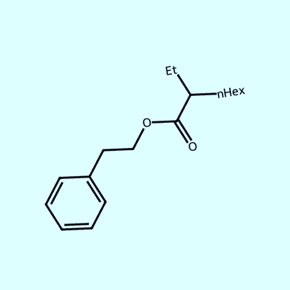 CCCCCCC(CC)C(=O)OCCc1ccccc1